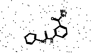 NNC(=O)c1cccc(NC(=S)NC2=CC[CH]C=C2)c1